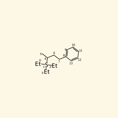 CCS(CC)(CC)C(C)CCc1ccccc1